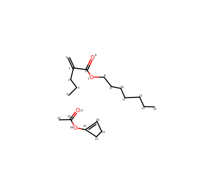 C=C(CCC)C(=O)OCCCCCCC.CC(=O)OC1=CCC1